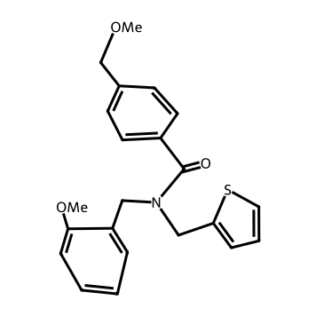 COCc1ccc(C(=O)N(Cc2cccs2)Cc2ccccc2OC)cc1